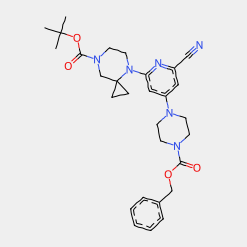 CC(C)(C)OC(=O)N1CCN(c2cc(N3CCN(C(=O)OCc4ccccc4)CC3)cc(C#N)n2)C2(CC2)C1